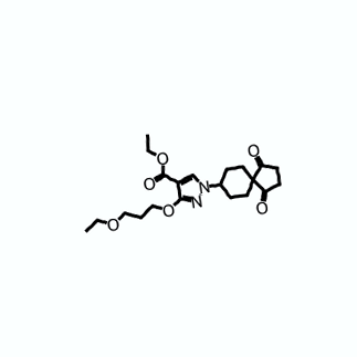 CCOCCCOc1nn(C2CCC3(CC2)C(=O)CCC3=O)cc1C(=O)OCC